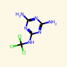 Nc1nc(N)nc(NC(Cl)(Cl)Cl)n1